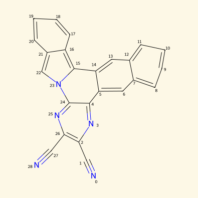 N#Cc1nc2c3cc4ccccc4cc3c3c4ccccc4cn3c2nc1C#N